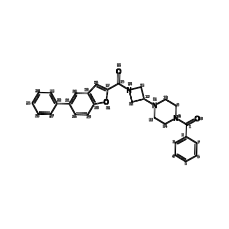 O=C(c1ccccc1)N1CCN(C2CN(C(=O)c3cc4cc(-c5ccccc5)ccc4o3)C2)CC1